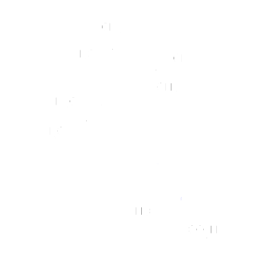 CC(/C=C/C=C1\CCC(C)(C)c2cc3c(cc21)C(C)(C)CCC3(C)C)=C\C(=O)O